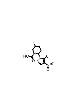 O=C(O)N1CC(F)CCC1n1ncc([N+](=O)[O-])c1Cl